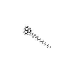 CCCCCCCCCCCCCCCCC1C=Cc2cccc3cccc1c23